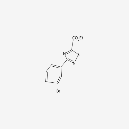 CCOC(=O)c1nc(-c2cccc(Br)c2)ns1